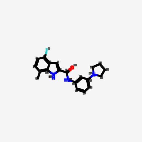 Cc1ccc(F)c2cc(C(=O)Nc3cccc(N4CCCC4)c3)[nH]c12